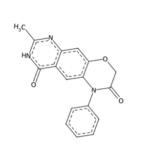 Cc1nc2cc3c(cc2c(=O)[nH]1)N(c1ccccc1)C(=O)CO3